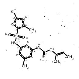 C/C=C(\C)OC(=O)Nc1cc(C)cc(NS(=O)(=O)c2sc(Br)nc2C)n1